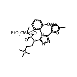 CCOC(=O)[C@H](C)S(=O)(=O)N(CC[Si](C)(C)C)c1nnc(-c2ccc(C)o2)n1-c1c(OC)cccc1OC